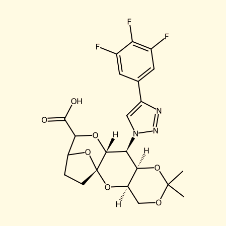 CC1(C)OC[C@H]2O[C@]34CCC(O3)C(C(=O)O)O[C@@H]4[C@@H](n3cc(-c4cc(F)c(F)c(F)c4)nn3)[C@H]2O1